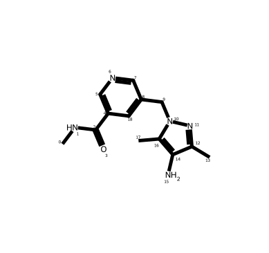 CNC(=O)c1cncc(Cn2nc(C)c(N)c2C)c1